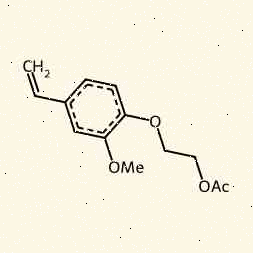 C=Cc1ccc(OCCOC(C)=O)c(OC)c1